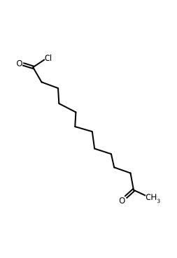 CC(=O)CCCCCCCCCCC(=O)Cl